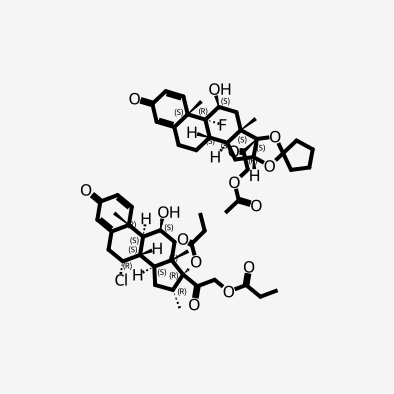 CC(=O)OCC(=O)[C@@]12OC3(CCCC3)O[C@@H]1C[C@H]1[C@@H]3CCC4=CC(=O)C=C[C@]4(C)[C@@]3(F)[C@@H](O)C[C@@]12C.CCC(=O)OCC(=O)[C@@]1(OC(=O)CC)[C@H](C)C[C@H]2[C@H]3[C@H]([C@@H](O)C[C@@]21C)[C@@]1(C)C=CC(=O)C=C1C[C@H]3Cl